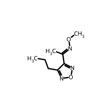 CCCc1nonc1/C(C)=N/OC